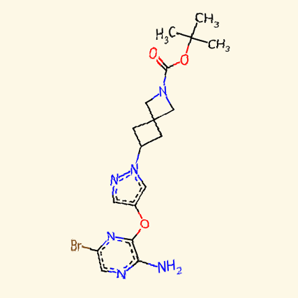 CC(C)(C)OC(=O)N1CC2(CC(n3cc(Oc4nc(Br)cnc4N)cn3)C2)C1